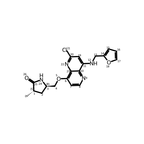 C[C@H]1C[C@H](COc2ccnc3c(NCc4ccco4)cc(Cl)nc23)NC1=O